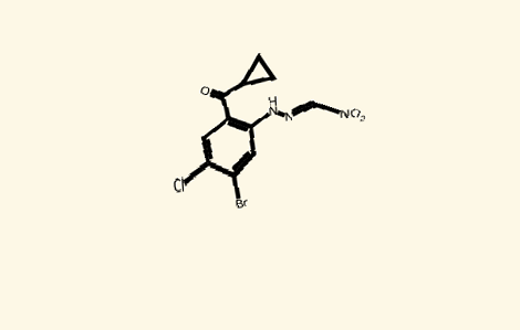 O=C(c1cc(Cl)c(Br)cc1NN=C[N+](=O)[O-])C1CC1